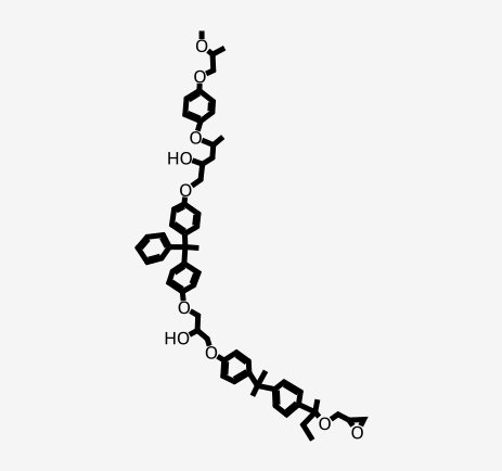 CCC(C)(OCC1CO1)c1ccc(C(C)(C)c2ccc(OCC(O)COc3ccc(C(C)(c4ccccc4)c4ccc(OCC(O)CC(C)Oc5ccc(OCC(C)OC)cc5)cc4)cc3)cc2)cc1